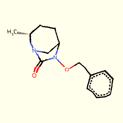 C[C@@H]1CCC2CN1C(=O)N2OCc1ccccc1